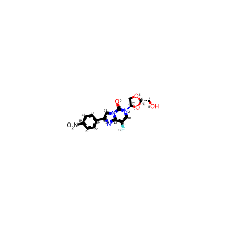 O=c1n([C@H]2CO[C@H](CO)O2)cc(F)c2nc(-c3ccc([N+](=O)[O-])cc3)cn12